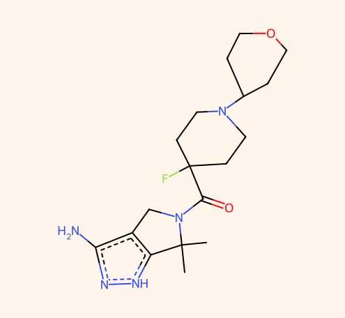 CC1(C)c2[nH]nc(N)c2CN1C(=O)C1(F)CCN(C2CCOCC2)CC1